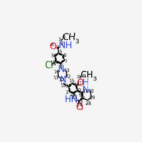 CCNC(=O)c1ccc(N2CCN(Cc3cc(OCC)c4c5c(c(=O)[nH]c4c3)CCCN5)CC2)c(Cl)c1